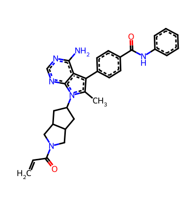 C=CC(=O)N1CC2CC(n3c(C)c(-c4ccc(C(=O)Nc5ccccc5)cc4)c4c(N)ncnc43)CC2C1